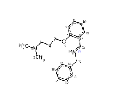 CN(C)CCCOc1ccccc1/C=N/Cc1ccccc1